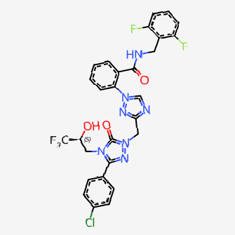 O=C(NCc1c(F)cccc1F)c1ccccc1-n1cnc(Cn2nc(-c3ccc(Cl)cc3)n(C[C@H](O)C(F)(F)F)c2=O)n1